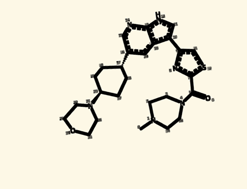 CN1CCN(C(=O)c2nc(-c3c[nH]c4ncc([C@H]5CC[C@H](N6CCOCC6)CC5)cc34)cs2)CC1